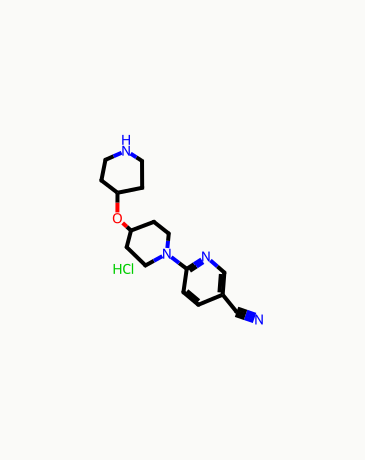 Cl.N#Cc1ccc(N2CCC(OC3CCNCC3)CC2)nc1